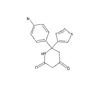 O=C1CC(=O)NC(c2ccc(Br)cc2)(c2ccsc2)C1